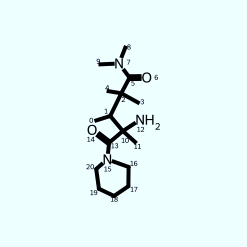 CC(C(C)(C)C(=O)N(C)C)C(C)(N)C(=O)N1CCCCC1